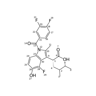 CCC(C)C[C@@H](C(=O)O)c1c(C)n(C(=O)c2ccc(F)c(F)c2)c2ccc(O)c(F)c12